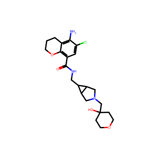 Nc1c(Cl)cc(C(=O)NCC2C3CN(CC4(O)CCOCC4)CC23)c2c1CCCO2